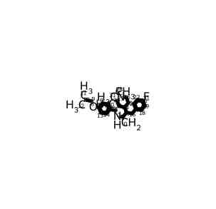 C=C(NCc1ccc(OCC(C)C)cc1)C(Cc1ccc(F)cc1)C1CCN(C)C(C)(C)C1